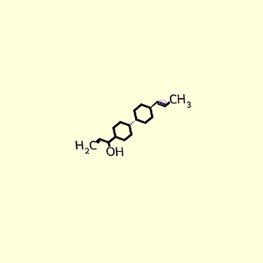 C=CC(O)C1CCC([C@H]2CC[C@H](/C=C/C)CC2)CC1